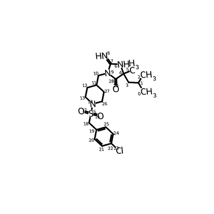 CC(C)CC1(C)NC(=N)N(CC2CCN(S(=O)(=O)Cc3ccc(Cl)cc3)CC2)C1=O